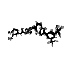 C=N/C=C(CC(=O)NNC(=O)/C=C\n1cnc(-c2cc(C(F)(F)F)cc(C(F)(F)F)c2)n1)\N=C/C